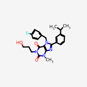 CC(C)c1cccc(-c2nc3c(c(=O)n(CCCO)c(=O)n3C)n2Cc2ccc(F)cc2)c1